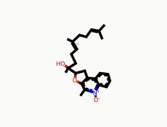 CC(C)=CCC/C(C)=C/CCC(C)(O)C1Cc2c(c(C)[n+]([O-])c3ccccc23)O1